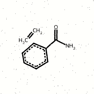 C=C.NC(=O)c1ccccc1